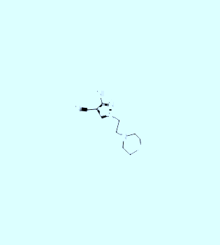 N#Cc1cn(CCN2CCOCC2)nc1N